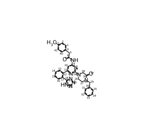 Cc1ccc(CC(=O)Nc2cc(-c3ccccc3-c3nnn[nH]3)nc(N3CCN(Cc4ccccc4)C(=O)C3)n2)cc1